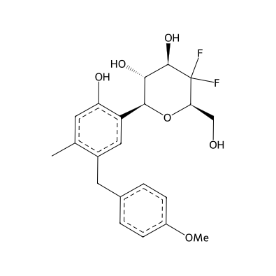 COc1ccc(Cc2cc([C@@H]3O[C@H](CO)C(F)(F)[C@H](O)[C@H]3O)c(O)cc2C)cc1